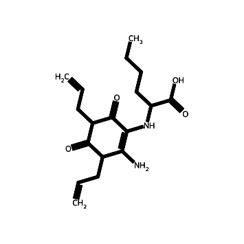 C=CCC1C(=O)C(NC(CCCC)C(=O)O)=C(N)C(CC=C)C1=O